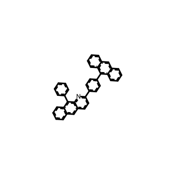 c1ccc(-c2c3ccccc3cc3ccc(-c4ccc(-c5c6ccccc6cc6ccccc56)cc4)nc23)cc1